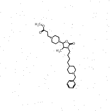 COC(=O)CCN1CCN(C2OC(=O)N(CCCCC3CCN(Cc4ccccc4)CC3)C2C)CC1